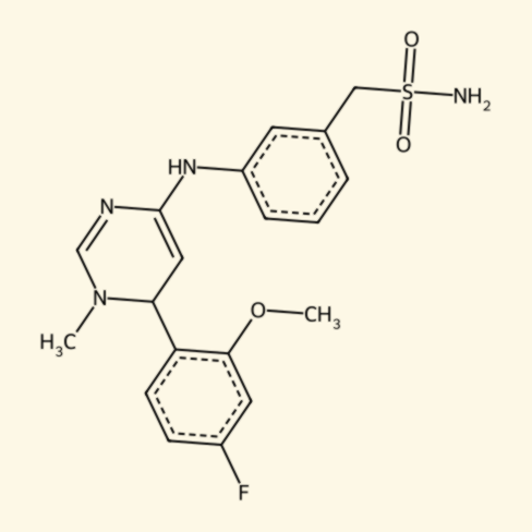 COc1cc(F)ccc1C1C=C(Nc2cccc(CS(N)(=O)=O)c2)N=CN1C